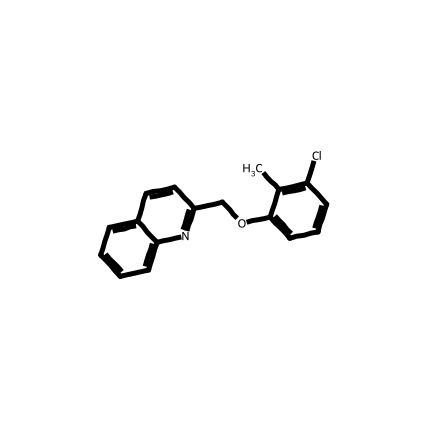 Cc1c(Cl)cccc1OCc1ccc2ccccc2n1